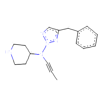 CC#CN(C1CCNCC1)n1ncc(Cc2ccccc2)n1